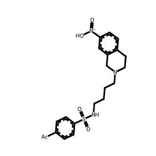 CC(=O)c1ccc(S(=O)(=O)NCCCCN2CCc3ccc([N+](=O)O)cc3C2)cc1